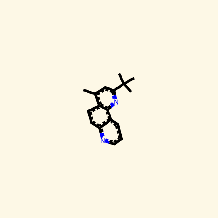 Cc1cc(C(C)(C)C)nc2c1ccc1ncccc12